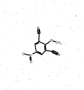 COc1c(C#N)cc([N+](=O)[O-])cc1C#N